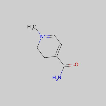 C[N+]1=CC=C(C(N)=O)CC1